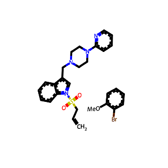 C=CCS(=O)(=O)n1cc(CN2CCN(c3ccccn3)CC2)c2ccccc21.COc1ccccc1Br